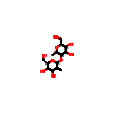 CC1C(O)C(O)[C@H](CO)O[C@H]1O[C@@H]1C(O)[C@H](O)C(CO)O[C@@H]1C